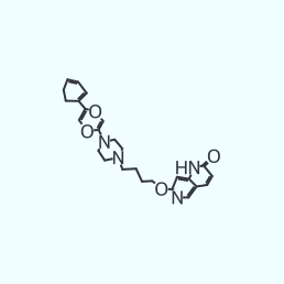 O=c1ccc2cnc(OCCCCN3CCN(C4=COC(C5=CC=CCC5)=CO4)CC3)cc2[nH]1